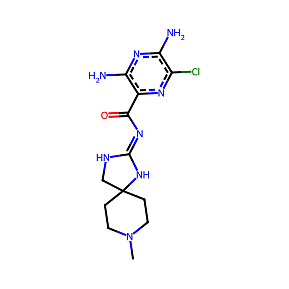 CN1CCC2(CC1)CN/C(=N\C(=O)c1nc(Cl)c(N)nc1N)N2